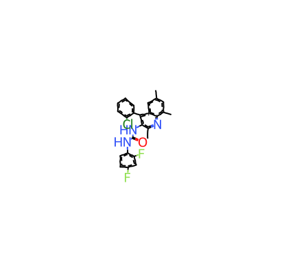 Cc1cc(C)c2nc(C)c(NC(=O)Nc3ccc(F)cc3F)c(-c3ccccc3Cl)c2c1